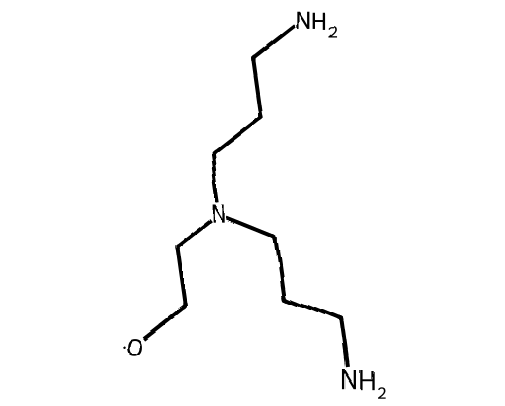 NCCCN(CC[O])CCCN